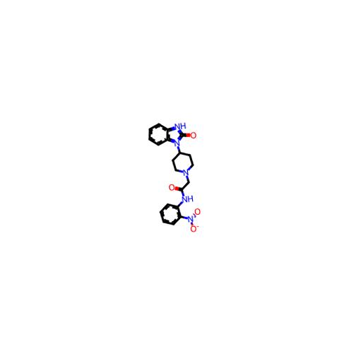 O=C(CN1CCC(n2c(=O)[nH]c3ccccc32)CC1)Nc1ccccc1[N+](=O)[O-]